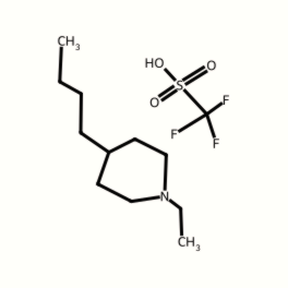 CCCCC1CCN(CC)CC1.O=S(=O)(O)C(F)(F)F